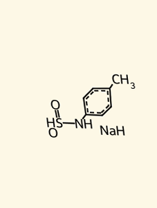 Cc1ccc(N[SH](=O)=O)cc1.[NaH]